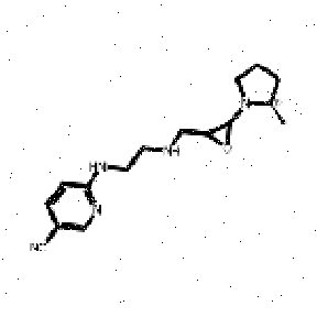 C[C@@H]1CCCN1C1OC1CNCCNc1ccc(C#N)cn1